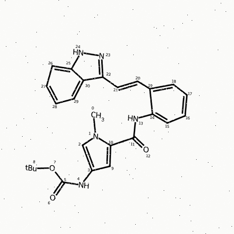 Cn1cc(NC(=O)OC(C)(C)C)cc1C(=O)Nc1ccccc1C=Cc1n[nH]c2ccccc12